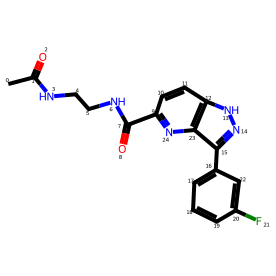 CC(=O)NCCNC(=O)c1ccc2[nH]nc(-c3cccc(F)c3)c2n1